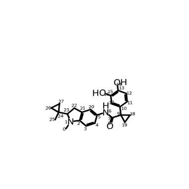 CN1c2ccc(NC(=O)C3(c4ccc(O)c(O)c4)CC3)cc2CC1C1(C)CC1